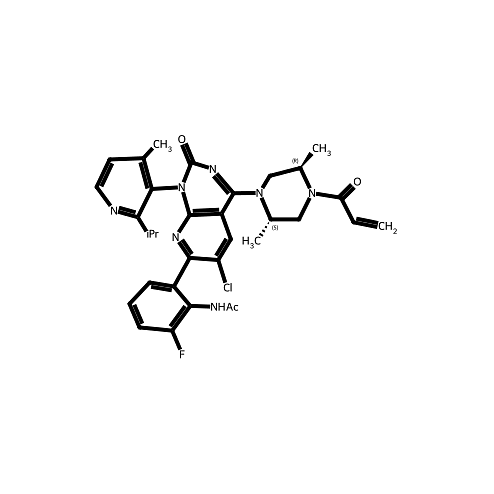 C=CC(=O)N1C[C@H](C)N(c2nc(=O)n(-c3c(C)ccnc3C(C)C)c3nc(-c4cccc(F)c4NC(C)=O)c(Cl)cc23)C[C@H]1C